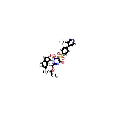 Cc1cnccc1-c1ccc(S(=O)(=O)c2c(O)n([C@H]3CCc4ccccc43)c(COC(C)C)nc2=O)cc1